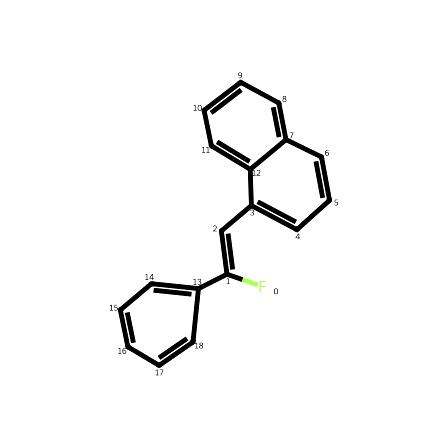 F/C(=C\c1cccc2ccccc12)c1ccccc1